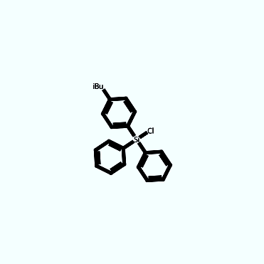 CCC(C)c1ccc([Si](Cl)(c2ccccc2)c2ccccc2)cc1